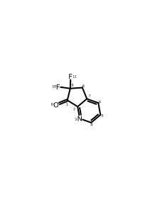 O=C1c2ncccc2CC1(F)F